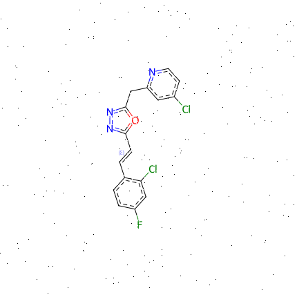 Fc1ccc(/C=C/c2nnc(Cc3cc(Cl)ccn3)o2)c(Cl)c1